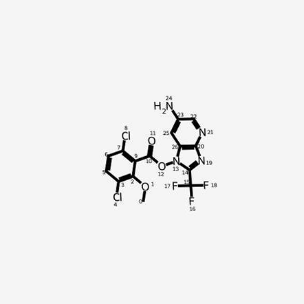 COc1c(Cl)ccc(Cl)c1C(=O)On1c(C(F)(F)F)nc2ncc(N)cc21